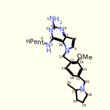 CCCCCNc1nc(N)nc2ccn(Cc3ccc(CN4CCCC4C)cc3OC)c12